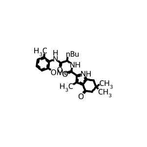 CCCCC(NC(=O)c1[nH]c2c(c1C)C(=O)CC(C)(C)C2)C(=O)Nc1c(C)cccc1OC